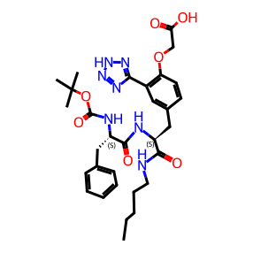 CCCCCNC(=O)[C@H](Cc1ccc(OCC(=O)O)c(-c2nn[nH]n2)c1)NC(=O)[C@H](Cc1ccccc1)NC(=O)OC(C)(C)C